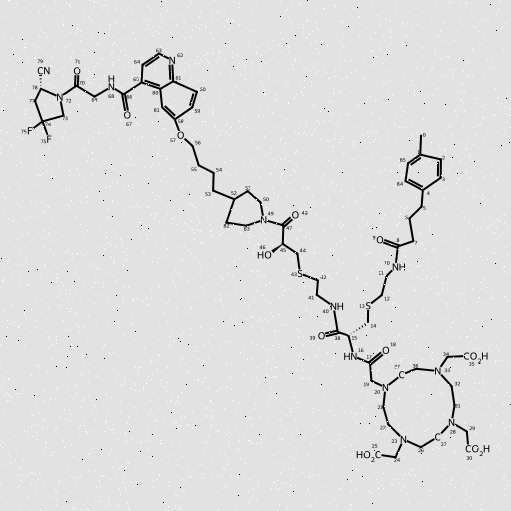 Cc1ccc(CCCC(=O)NCCSC[C@H](NC(=O)CN2CCN(CC(=O)O)CCN(CC(=O)O)CCN(CC(=O)O)CC2)C(=O)NCCSC[C@@H](O)C(=O)N2CCC(CCCCOc3ccc4nccc(C(=O)NCC(=O)N5CC(F)(F)C[C@@H]5C#N)c4c3)CC2)cc1